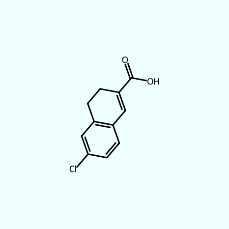 O=C(O)C1=Cc2ccc(Cl)cc2CC1